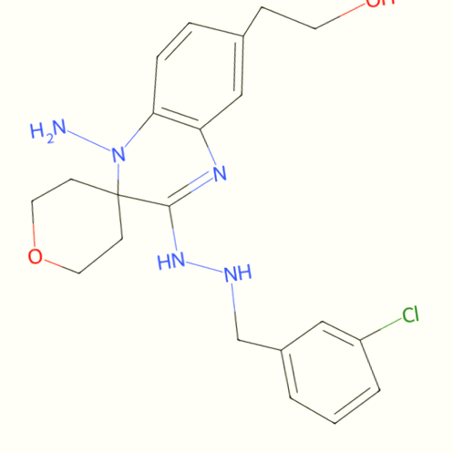 NN1c2ccc(CCO)cc2N=C(NNCc2cccc(Cl)c2)C12CCOCC2